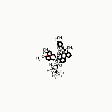 COc1ccc(CN(Cc2ccc(OC)cc2)S(=O)(=O)c2c(S(=O)(=O)C(C)CN(C(=O)O)C(C)(C)C)ccc(-c3cccc4c3nc(N)n4C)c2-c2nnn(Cc3ccc(OC)cc3)n2)cc1